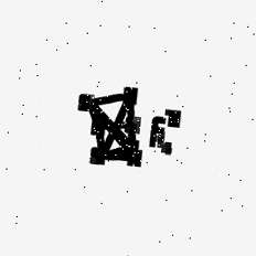 C.N12[Si]34N5[Si]16N3[Si]25N46.[Ti]